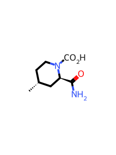 C[C@@H]1CCN(C(=O)O)[C@@H](C(N)=O)C1